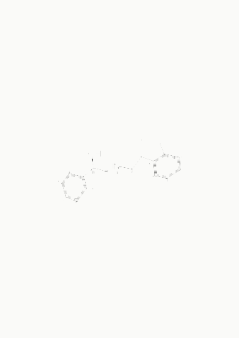 O=Cc1ccccc1CCNC[C@H](O)c1ccccc1